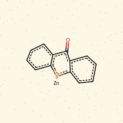 O=c1c2ccccc2sc2ccccc12.[Zn]